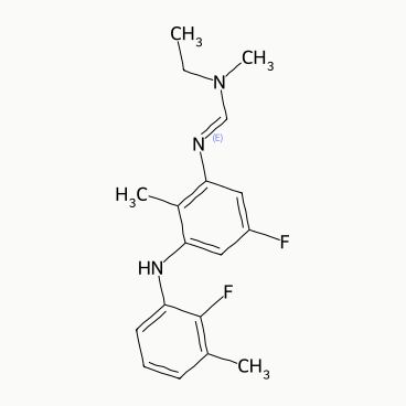 CCN(C)/C=N/c1cc(F)cc(Nc2cccc(C)c2F)c1C